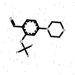 O=Cc1ccc(N2CCOCC2)cc1OC(F)(F)F